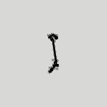 Cc1nc(Nc2ncc(C(=O)Nc3c(C)cccc3Cl)s2)cc(N2CCN(C(=O)CCOCCOCCOCCOCCOCCOCCNC(=O)C3CCN(c4ncc(C(=O)Nc5ccc(OC(F)(F)Cl)cc5)cc4-c4ccn[nH]4)CC3)CC2)n1